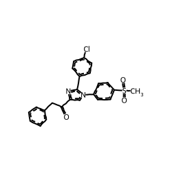 CS(=O)(=O)c1ccc(-n2cc(C(=O)Cc3ccccc3)nc2-c2ccc(Cl)cc2)cc1